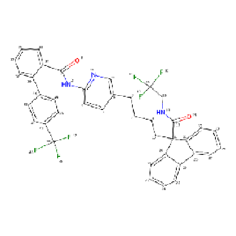 O=C(Nc1ccc(CCCCC2(C(=O)NCC(F)(F)F)c3ccccc3-c3ccccc32)cn1)c1ccccc1-c1ccc(C(F)(F)F)cc1